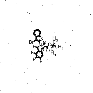 CC(C)(C)OC(=O)S(=O)(=O)N(c1sc2ccccc2c1Br)C(F)c1ccc(F)c(F)c1F